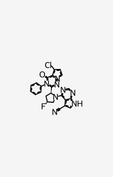 N#Cc1c[nH]c2ncnc(N3C[C@@H](F)C[C@H]3c3nn4ccc(Cl)c4c(=O)n3-c3ccccc3)c12